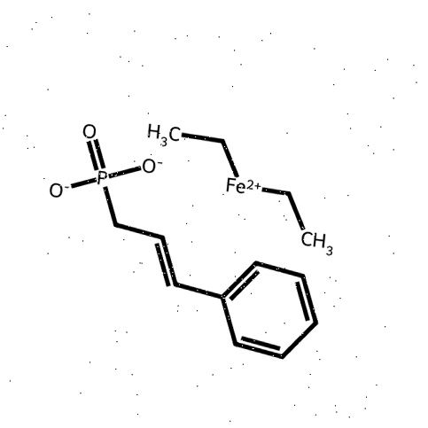 C[CH2][Fe+2][CH2]C.O=P([O-])([O-])CC=Cc1ccccc1